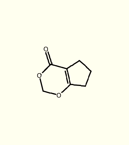 O=C1OCOC2=C1CCC2